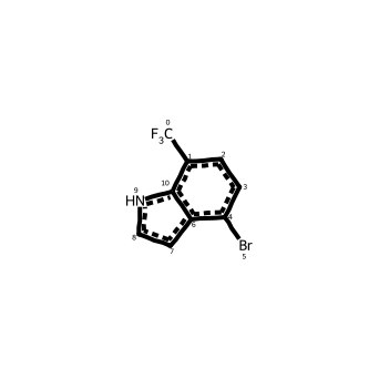 FC(F)(F)c1ccc(Br)c2cc[nH]c12